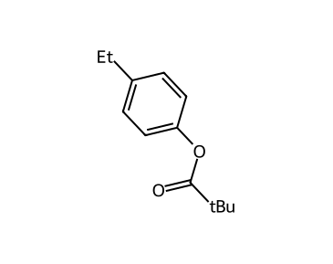 [CH2]Cc1ccc(OC(=O)C(C)(C)C)cc1